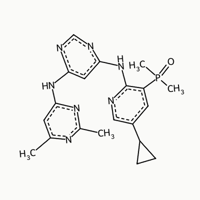 Cc1cc(Nc2cc(Nc3ncc(C4CC4)cc3P(C)(C)=O)ncn2)nc(C)n1